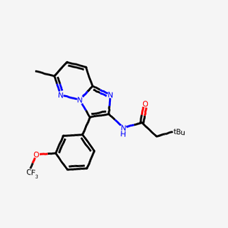 Cc1ccc2nc(NC(=O)CC(C)(C)C)c(-c3cccc(OC(F)(F)F)c3)n2n1